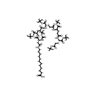 CC(C)(C)OC(=O)CC[C@H](NC(=O)CCC(NC(=O)CC[C@H](NC(=O)CCC(NC(=O)[C@H](CC(=O)NCCCCCCCCCCCC(=O)O)NC(=O)OC(C)(C)C)C(=O)OC(C)(C)C)C(=O)OC(C)(C)C)C(=O)OC(C)(C)C)C(=O)OC(C)(C)C